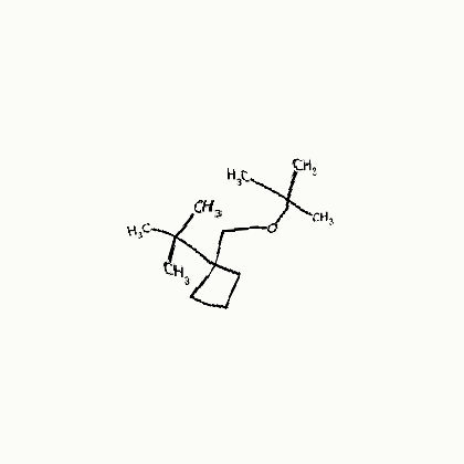 CC(C)(C)OCC1(C(C)(C)C)CCC1